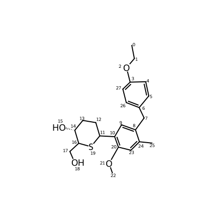 CCOc1ccc(Cc2cc(C3CC[C@@H](O)C(CO)S3)c(OC)cc2C)cc1